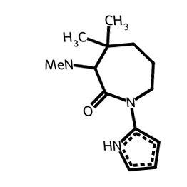 CNC1C(=O)N(c2ccc[nH]2)CCCC1(C)C